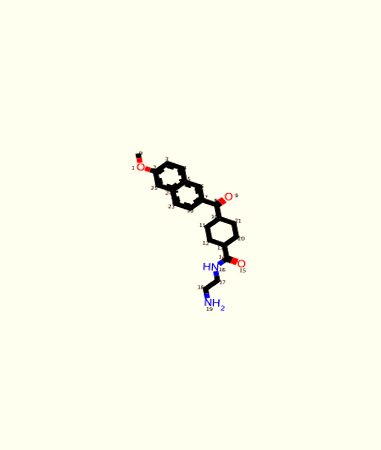 COc1ccc2cc(C(=O)C3CCC(C(=O)NCCN)CC3)ccc2c1